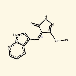 CC(C)OC1=NNC(=O)/C1=C\c1c[nH]c2ncccc12